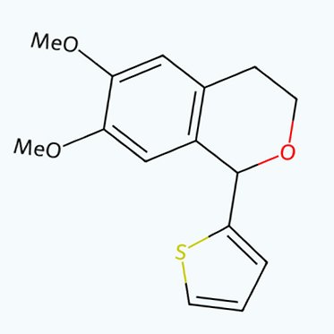 COc1cc2c(cc1OC)C(c1cccs1)OCC2